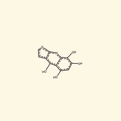 Oc1cc(O)c2c(O)c3ccoc3nc2c1O